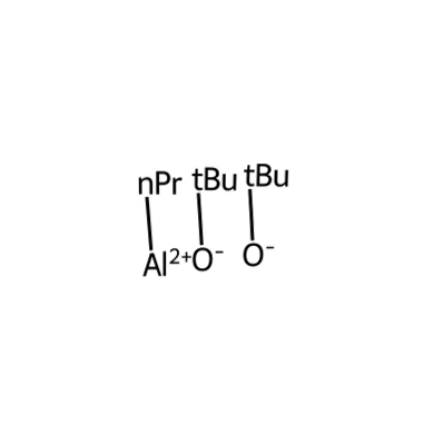 CC(C)(C)[O-].CC(C)(C)[O-].CC[CH2][Al+2]